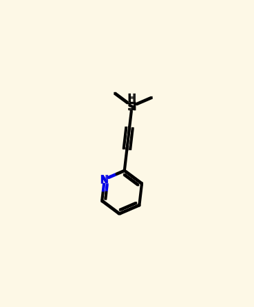 C[SiH](C)C#Cc1ccccn1